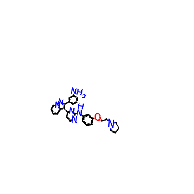 Nc1cccc(-c2nn3ccccc3c2-c2ccnc(Nc3cccc(OCCN4CCCC4)c3)n2)c1